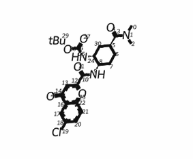 CN(C)C(=O)[C@H]1CC[C@H](NC(=O)c2cc(=O)c3cc(Cl)ccc3o2)[C@H](NC(=O)OC(C)(C)C)C1